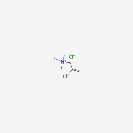 C=C(Cl)C[N+](C)(C)C.[Cl-]